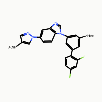 CC(=O)Nc1cc(-c2ccc(F)cc2F)cc(-n2cnc3cc(-n4cc(NC(C)=O)cn4)ccc32)c1